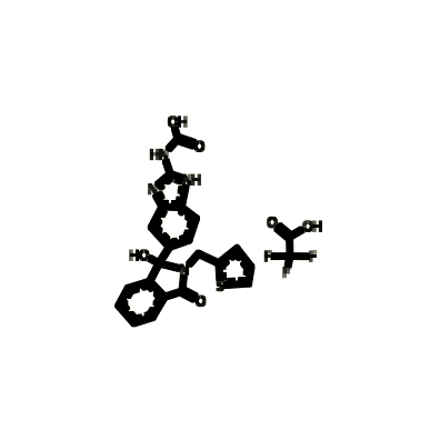 O=C(O)C(F)(F)F.O=C(O)Nc1nc2cc(C3(O)c4ccccc4C(=O)N3Cc3cccs3)ccc2[nH]1